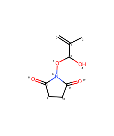 C=C(C)C(O)ON1C(=O)CCC1=O